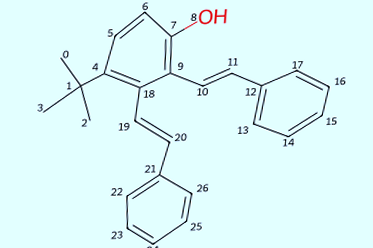 CC(C)(C)c1ccc(O)c(C=Cc2ccccc2)c1C=Cc1ccccc1